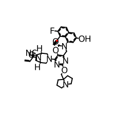 C#Cc1c(F)ccc2cc(O)cc(N3Cc4nc(OCC56CCCN5CCC6)nc(N5C[C@@H]6C[C@@H](C#N)[C@H](C5)N6C(=O)C=C)c4OC3=O)c12